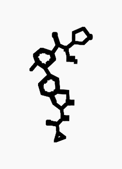 Cc1ccc(C(=O)N(N)C2CCOC2)cc1-c1ccc2c(c1)=CNC(NC(=O)C1CC1)C=2